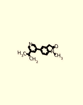 C=C(C)c1cncc(-c2ccc3c(c2)CC(=O)N3C)c1